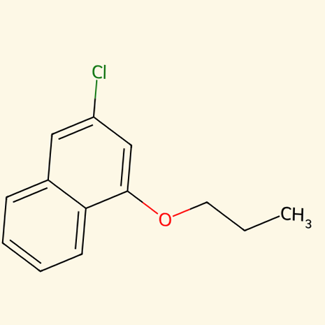 CCCOc1cc(Cl)cc2ccccc12